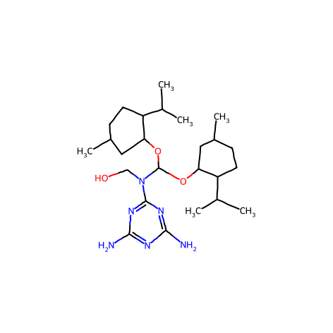 CC1CCC(C(C)C)C(OC(OC2CC(C)CCC2C(C)C)N(CO)c2nc(N)nc(N)n2)C1